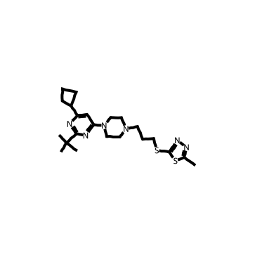 Cc1nnc(SCCCN2CCN(c3cc(C4CCC4)nc(C(C)(C)C)n3)CC2)s1